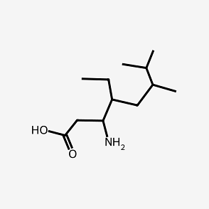 CCC(CC(C)C(C)C)C(N)CC(=O)O